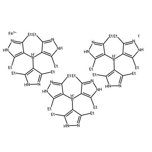 CCc1n[nH]c(CC)c1[BH-](c1c(CC)n[nH]c1CC)c1c(CC)n[nH]c1CC.CCc1n[nH]c(CC)c1[BH-](c1c(CC)n[nH]c1CC)c1c(CC)n[nH]c1CC.CCc1n[nH]c(CC)c1[BH-](c1c(CC)n[nH]c1CC)c1c(CC)n[nH]c1CC.[Fe+3].[I-]